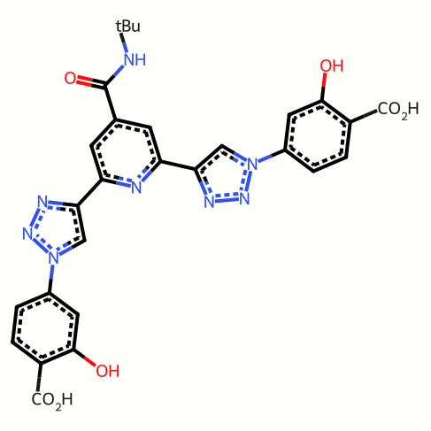 CC(C)(C)NC(=O)c1cc(-c2cn(-c3ccc(C(=O)O)c(O)c3)nn2)nc(-c2cn(-c3ccc(C(=O)O)c(O)c3)nn2)c1